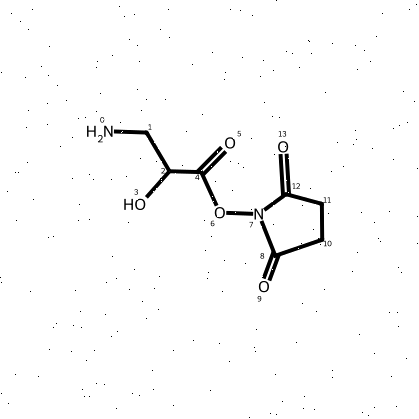 NCC(O)C(=O)ON1C(=O)CCC1=O